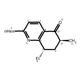 CCCCCCc1ccc2c(n1)[C@@H](CC)C[C@H](C)C2=O